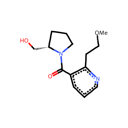 COCCc1ncccc1C(=O)N1CCC[C@H]1CO